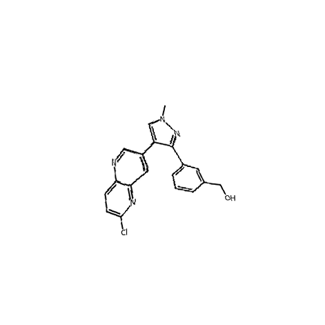 Cn1cc(-c2cnc3ccc(Cl)nc3c2)c(-c2cccc(CO)c2)n1